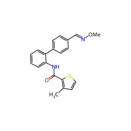 CO/N=C/c1ccc(-c2ccccc2NC(=O)c2sccc2C)cc1